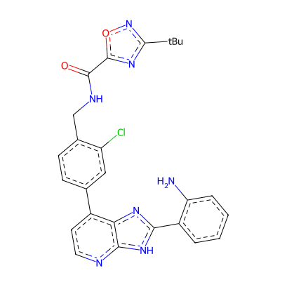 CC(C)(C)c1noc(C(=O)NCc2ccc(-c3ccnc4[nH]c(-c5ccccc5N)nc34)cc2Cl)n1